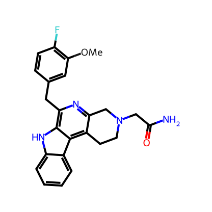 COc1cc(Cc2nc3c(c4c2[nH]c2ccccc24)CCN(CC(N)=O)C3)ccc1F